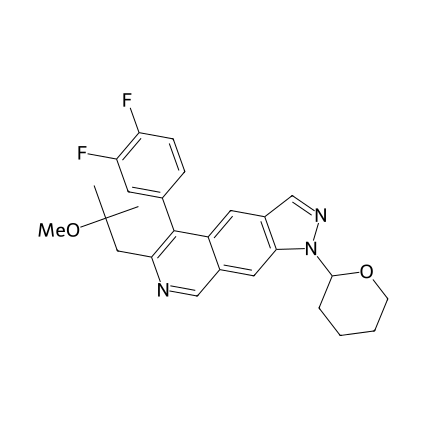 COC(C)(C)Cc1ncc2cc3c(cnn3C3CCCCO3)cc2c1-c1ccc(F)c(F)c1